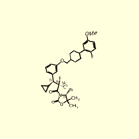 COc1ccc(F)c(C2CCC(COc3cccc([C@H](C4CC4)[C@@](C)(F)C(=O)N4C(=O)OC(C)(C)[C@@H]4C(C)C)c3)CC2)c1